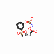 CC(C)(C)C(=O)ON=S(=O)=O.CS(=O)(=O)c1ccccc1